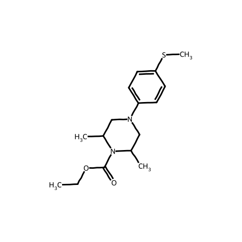 CCOC(=O)N1C(C)CN(c2ccc(SC)cc2)CC1C